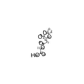 CC1(C)OC(=O)[C@H](CC(=O)OCC(=O)O)O1